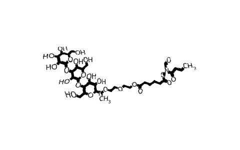 CCCC(=O)N(C=O)OC(=O)CCCCC(=O)OCCOCCON(C)C1OC(CO)C(OC2OC(CO)C(O)C(OC3OC(CO)C(O)C(O)C3O)C2O)C(O)C1O